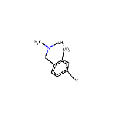 CC(=O)c1ccc(CN(C)C)c([N+](=O)[O-])c1